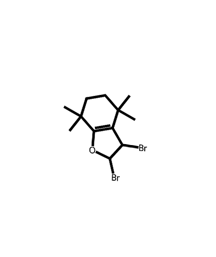 CC1(C)CCC(C)(C)C2=C1OC(Br)C2Br